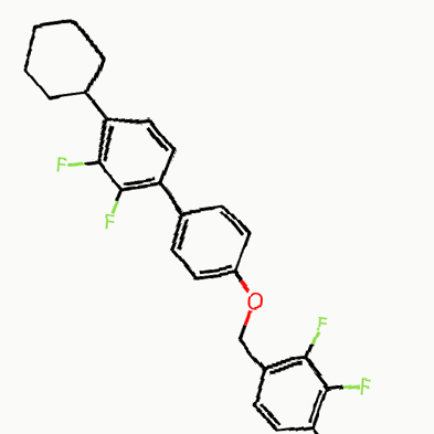 Cc1ccc(COc2ccc(-c3ccc(C4CCCCC4)c(F)c3F)cc2)c(F)c1F